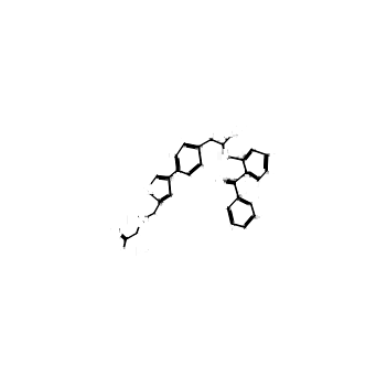 CCCCCCCC(=O)CNCc1cc(-c2ccc(CC(Nc3ccccc3C(=O)c3ccccc3)C(=O)O)cc2)cs1